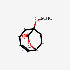 O=COC12CC/C=C\C(CC1)OC2=O